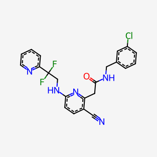 N#Cc1ccc(NCC(F)(F)c2ccccn2)nc1CC(=O)NCc1cccc(Cl)c1